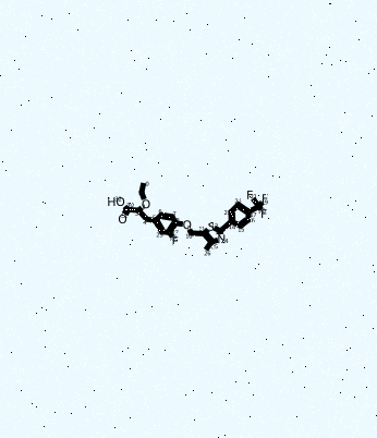 CCOC(Cc1ccc(OCc2sc(-c3ccc(C(F)(F)F)cc3)nc2C)c(F)c1)C(=O)O